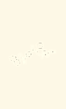 O=C(O)C=C1c2ccccc2N(C(=O)c2ccc(NC(=O)c3cccc4ccccc34)cc2)CCC1(F)F